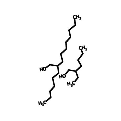 CCCCC(CC)CO.CCCCCCCCC(CO)CCCCCC